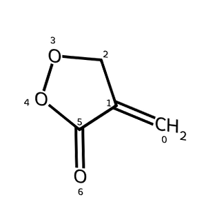 C=C1COOC1=O